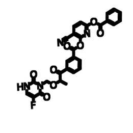 CC(OCn1c(=O)[nH]cc(F)c1=O)C(=O)c1cccc(C(=O)Oc2nc(OC(=O)c3ccccc3)ccc2C#N)c1